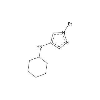 CCn1cc(NC2CCCCC2)cn1